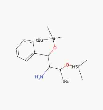 C[SiH](C)OC(C(N)C(O[Si](C)(C)C(C)(C)C)c1ccccc1)C(C)(C)C